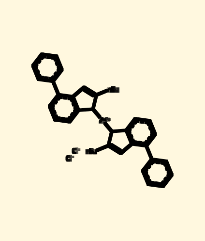 CCCCC1=Cc2c(-c3ccccc3)cccc2[CH]1[Zr+2][CH]1C(CCCC)=Cc2c(-c3ccccc3)cccc21.[Cl-].[Cl-]